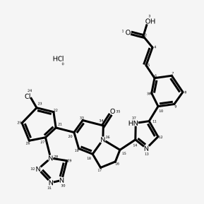 Cl.O=C(O)/C=C/c1cccc(-c2cnc(C3CCc4cc(-c5cc(Cl)ccc5-n5cnnn5)cc(=O)n43)[nH]2)c1